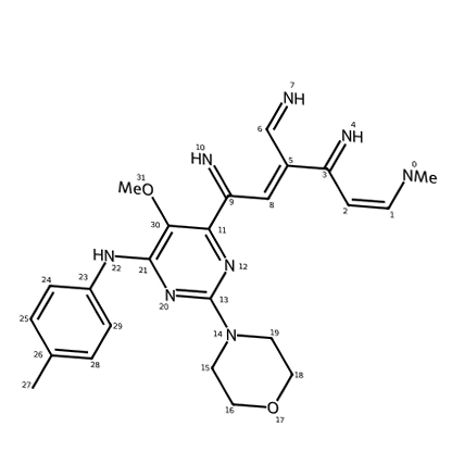 CN/C=C\C(=N)/C(C=N)=C/C(=N)c1nc(N2CCOCC2)nc(Nc2ccc(C)cc2)c1OC